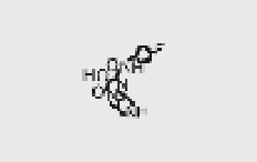 O=C(NCc1ccc(F)cc1)c1nc2n(c(=O)c1O)CC1CNCC2C1